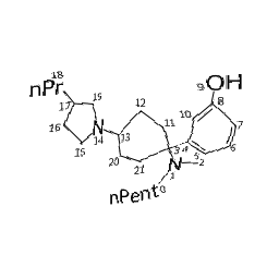 CCCCCN(C)C1(c2cccc(O)c2)CCC(N2CCC(CCC)C2)CC1